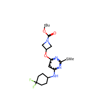 CSc1nc(NC2CCC(F)(F)CC2)cc(OC2CN(C(=O)OC(C)(C)C)C2)n1